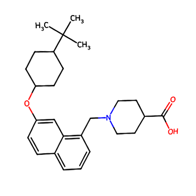 CC(C)(C)C1CCC(Oc2ccc3cccc(CN4CCC(C(=O)O)CC4)c3c2)CC1